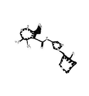 Cc1n[nH]c(=O)c(C(=O)Nc2cnn(-c3ccccc3Cl)c2)c1C